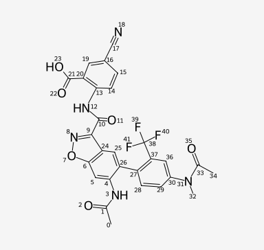 CC(=O)Nc1cc2onc(C(=O)Nc3ccc(C#N)cc3C(=O)O)c2cc1-c1ccc(N(C)C(C)=O)cc1C(F)(F)F